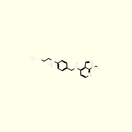 CCn1ncc2c(NCc3ccc(S(=N)(=O)CCOC)cc3)ccnc21